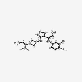 CN(C)C(=C[N+](=O)[O-])N1CC(Nc2nonc2C(=NO)Nc2ccc(F)c(Br)c2)C1